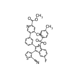 COC(=O)c1cc(C)c(-c2cccc(-c3c(-c4ccsc4C#N)c4cc(F)ccc4n3S(=O)(=O)c3ccc(C)cc3)c2)cn1